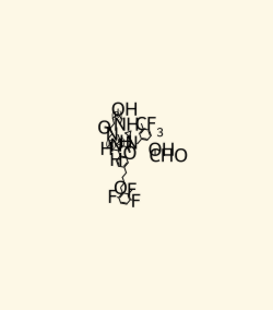 O=C(C1C[C@@H](O)CN1)N1C[C@H]2CC(c3ccc(CCCOc4c(F)ccc(F)c4F)cc3)=C(C(=O)N(Cc3cccc(C(F)(F)F)c3)C3CC3)[C@@H](C1)N2.O=CO